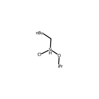 CCCCC[SiH](Cl)OC(C)C